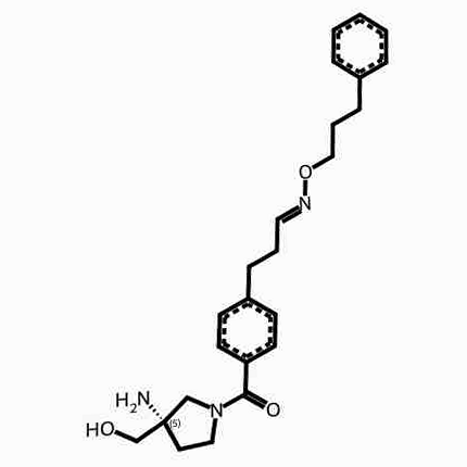 N[C@@]1(CO)CCN(C(=O)c2ccc(CCC=NOCCCc3ccccc3)cc2)C1